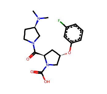 CN(C)[C@@H]1CCN(C(=O)[C@H]2C[C@H](Oc3cccc(F)c3)CN2C(=O)O)C1